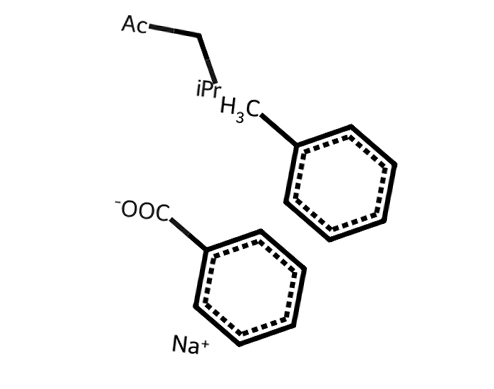 CC(=O)CC(C)C.Cc1ccccc1.O=C([O-])c1ccccc1.[Na+]